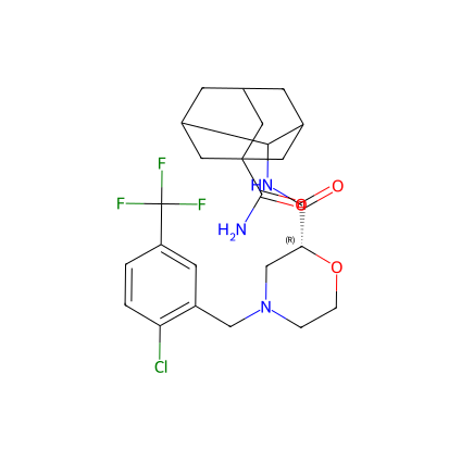 NC(=O)C12CC3CC(C1)C(NC(=O)[C@H]1CN(Cc4cc(C(F)(F)F)ccc4Cl)CCO1)C(C3)C2